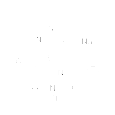 CCCn1c(=O)n(C)c(=O)c2c(C(=O)[O-])c(Cn3c(CO)nc4ccccc43)sc21.[Na+]